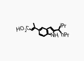 CCCC(c1cc2cc(C(C)=CC(=O)O)ccc2[nH]1)C(C)C